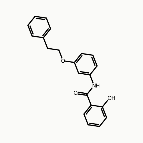 O=C(Nc1cccc(OCCc2ccccc2)c1)c1ccccc1O